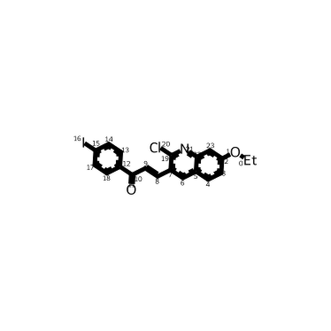 CCOc1ccc2cc(C=CC(=O)c3ccc(I)cc3)c(Cl)nc2c1